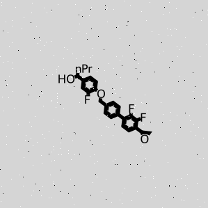 CCCC(O)c1ccc(OCc2ccc(-c3ccc(C4CO4)c(F)c3F)cc2)c(F)c1